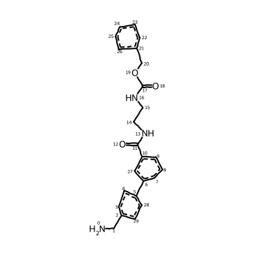 NCc1ccc(-c2cccc(C(=O)NCCNC(=O)OCc3ccccc3)c2)cc1